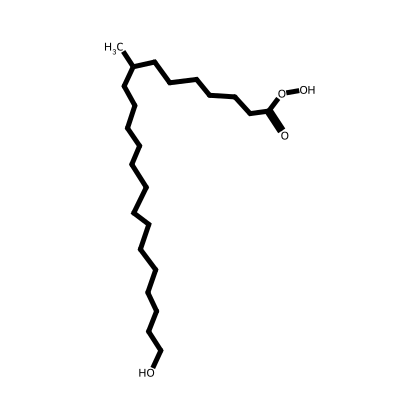 CC(CCCCCCCCCCCCCCO)CCCCCCC(=O)OO